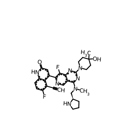 C#Cc1c(F)ccc2[nH]c(=O)cc(-c3ncc4c(N(C)C[C@H]5CCCN5)nc(N5CCC(C)(O)CC5)nc4c3F)c12